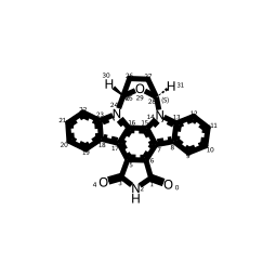 O=C1NC(=O)c2c1c1c3ccccc3n3c1c1c2c2ccccc2n1[C@@H]1CC[C@@H]3O1